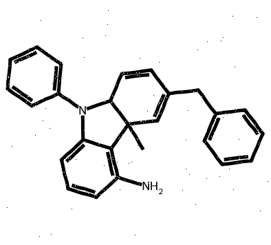 CC12C=C(Cc3ccccc3)C=CC1N(c1ccccc1)c1cccc(N)c12